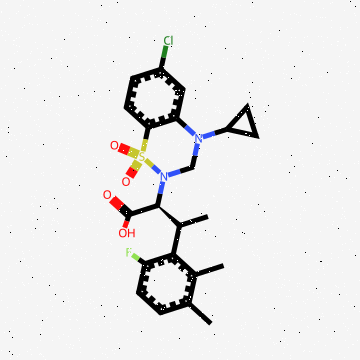 Cc1ccc(F)c(C(C)[C@@H](C(=O)O)N2CN(C3CC3)c3cc(Cl)ccc3S2(=O)=O)c1C